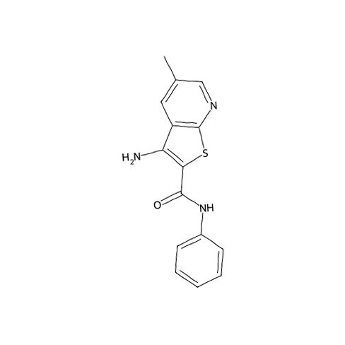 Cc1cnc2sc(C(=O)Nc3ccccc3)c(N)c2c1